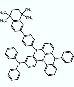 CC1(C)CCC(C)(C)c2cc(-c3ccc(N4c5cc(N(c6ccccc6)c6ccccc6)ccc5B5c6ccccc6N(c6ccccc6)c6cccc4c65)cc3)ccc21